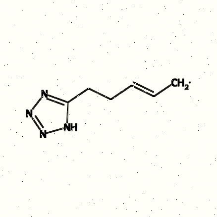 [CH2]C=CCCc1nnn[nH]1